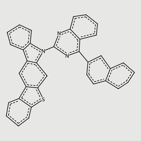 c1ccc2cc(-c3nc(-n4c5ccccc5c5cc6c(cc54)sc4ccccc46)nc4ccccc34)ccc2c1